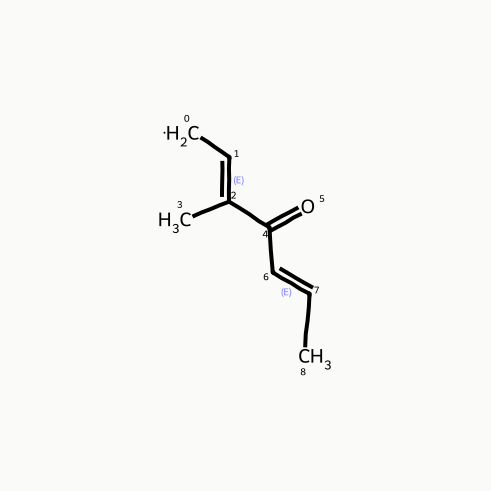 [CH2]/C=C(\C)C(=O)/C=C/C